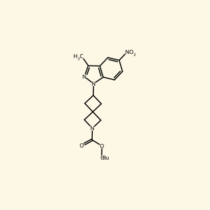 Cc1nn(C2CC3(C2)CN(C(=O)OC(C)(C)C)C3)c2ccc([N+](=O)[O-])cc12